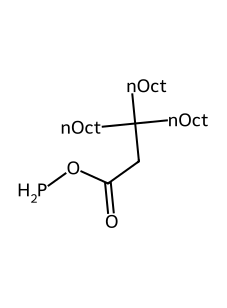 CCCCCCCCC(CCCCCCCC)(CCCCCCCC)CC(=O)OP